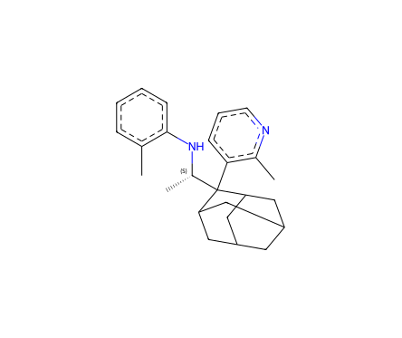 Cc1ccccc1N[C@@H](C)C1(c2cccnc2C)C2CC3CC(C2)CC1C3